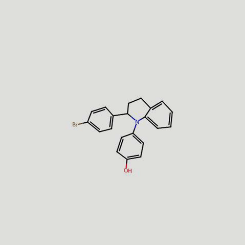 Oc1ccc(N2c3ccccc3CCC2c2ccc(Br)cc2)cc1